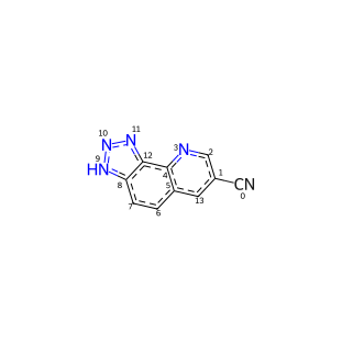 N#Cc1cnc2c(ccc3[nH]nnc32)c1